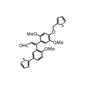 COc1cc(C(=CC=O)c2cc(-c3cccs3)ccc2OC)c(OC)cc1OCc1cccs1